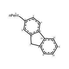 CCCCCc1ccc2c(c1)Cc1ccccc1-2